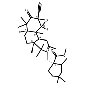 COC(=O)[C@]1(CCC(C)(C)[C@]2(C)CC[C@H]3C(C)(C)C(=O)[C@]4(C#N)O[C@@H]4[C@]3(C)[C@H]2CC(C)=O)CCC(C)(C)CC1C